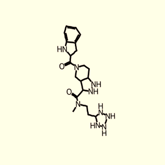 CN(CCC1NNNN1)C(=O)C1NNC2CCN(C(=O)C3Cc4ccccc4N3)CC21